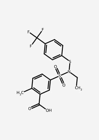 CCN(Sc1ccc(C(F)(F)F)cc1)S(=O)(=O)c1ccc(C)c(C(=O)O)c1